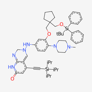 CC(C)[Si](C#Cc1cc(=O)[nH]c2c1=CN(Nc1ccc(N3CCN(C)CC3)c(OCC3(CO[Si](c4ccccc4)(c4ccccc4)C(C)(C)C)CCCC3)c1)CN=2)(C(C)C)C(C)C